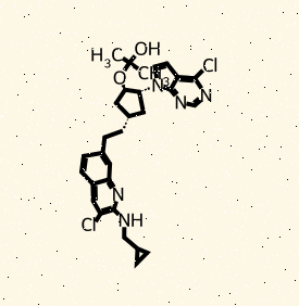 CC(C)(O)O[C@@H]1C[C@@H](CCc2ccc3cc(Cl)c(NCC4CC4)nc3c2)C[C@H]1n1ccc2c(Cl)ncnc21